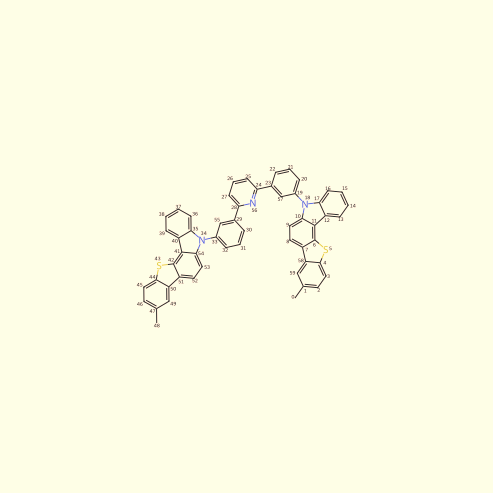 Cc1ccc2sc3c(ccc4c3c3ccccc3n4-c3cccc(-c4cccc(-c5cccc(-n6c7ccccc7c7c8sc9ccc(C)cc9c8ccc76)c5)n4)c3)c2c1